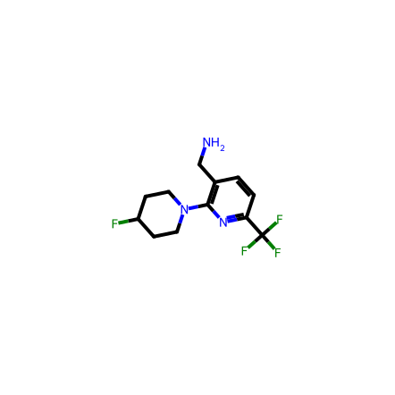 NCc1ccc(C(F)(F)F)nc1N1CCC(F)CC1